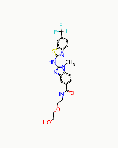 Cn1c(Nc2nc3ccc(C(F)(F)F)cc3s2)nc2cc(C(=O)NCCOCCO)ccc21